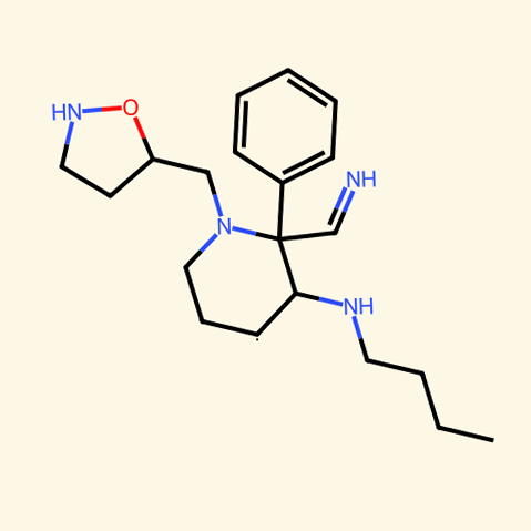 CCCCNC1[CH]CCN(CC2CCNO2)C1(C=N)c1ccccc1